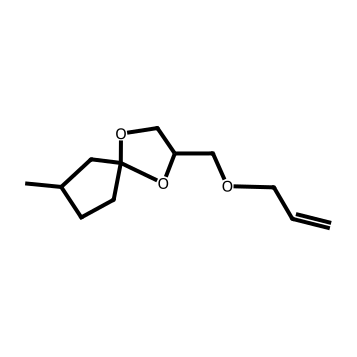 C=CCOCC1COC2(CCC(C)C2)O1